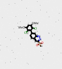 COc1cc(OC)c(Cl)c(-c2ccc3cc(S(C)(=O)=O)nnc3c2)c1Cl